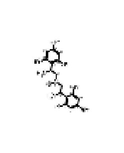 CC(C)c1cc(C(C)C)c(C(N)C[N]([Fe])CC(N)c2c(C(C)C)cc(C(C)C)cc2C(C)C)c(C(C)C)c1